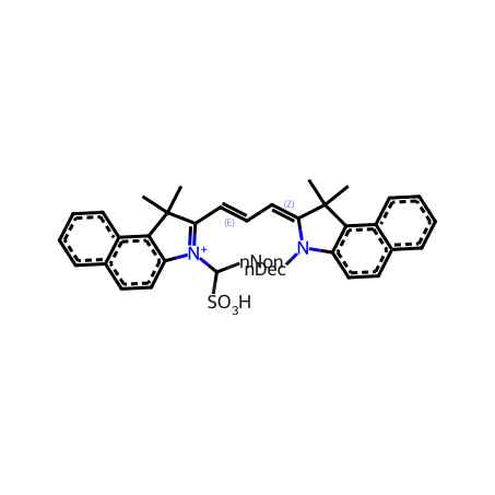 CCCCCCCCCCN1/C(=C\C=C\C2=[N+](C(CCCCCCCCC)S(=O)(=O)O)c3ccc4ccccc4c3C2(C)C)C(C)(C)c2c1ccc1ccccc21